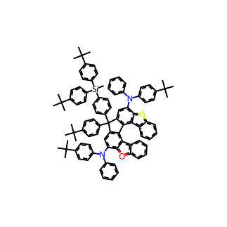 CC(C)(C)c1ccc(N(c2ccccc2)c2cc3c(c4c2oc2ccccc24)-c2c(cc(N(c4ccccc4)c4ccc(C(C)(C)C)cc4)c4sc5ccccc5c24)C3(c2ccc(C(C)(C)C)cc2)c2ccc([Si](C)(c3ccc(C(C)(C)C)cc3)c3ccc(C(C)(C)C)cc3)cc2)cc1